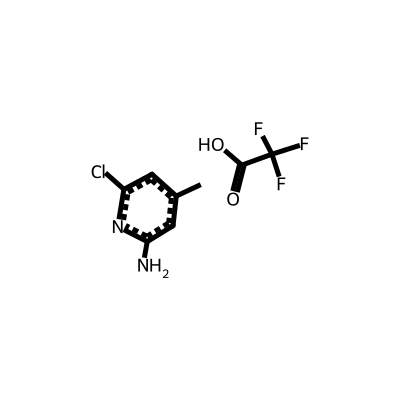 Cc1cc(N)nc(Cl)c1.O=C(O)C(F)(F)F